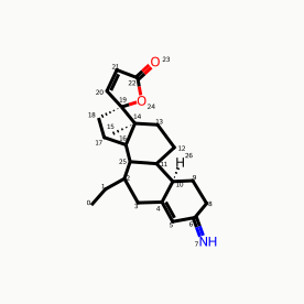 CCC1CC2=CC(=N)CC[C@@H]2C2CC[C@@]3(C)C(CC[C@@]34C=CC(=O)O4)C12